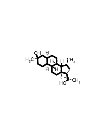 C[C@H](O)[C@H]1C[C@@H](C)[C@H]2[C@@H]3CC[C@@H]4C[C@](C)(O)CC[C@@H]4[C@H]3CC[C@@]21C